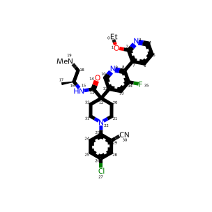 CCOc1ncccc1-c1ncc(C2(C(=O)N[C@@H](C)CNC)CCN(c3ccc(Cl)cc3C#N)CC2)cc1F